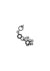 CN1CCC(Oc2ccc3c(c2)CN(c2cn[nH]c(=O)c2C(F)(F)F)C3)CC1